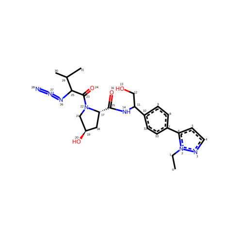 CCn1nccc1-c1ccc(C(CO)NC(=O)[C@@H]2C[C@@H](O)CN2C(=O)C(N=[N+]=[N-])C(C)C)cc1